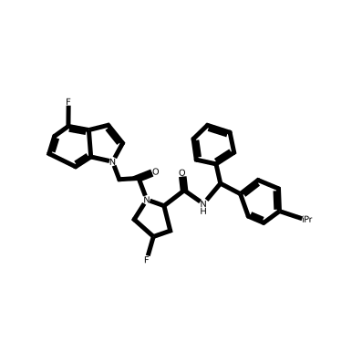 CC(C)c1ccc(C(NC(=O)C2CC(F)CN2C(=O)Cn2ccc3c(F)cccc32)c2ccccc2)cc1